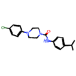 CC(C)c1ccc(NC(=O)N2CCN(c3ccc(Cl)cc3)CC2)cc1